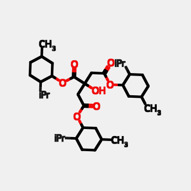 CC1CCC(C(C)C)C(OC(=O)CC(O)(CC(=O)OC2CC(C)CCC2C(C)C)C(=O)OC2CC(C)CCC2C(C)C)C1